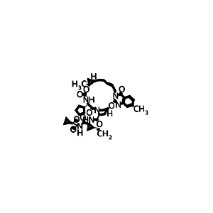 C=C[C@@H]1C[C@]1(NC(=O)[C@@H]1C[C@@H]2CN1C(=O)[C@H](C1CCCC1)NC(=O)O[C@@]1(C)C[C@@H]1CC/C=C/Cn1c(nc3cc(C)ccc3c1=O)O2)C(=O)NS(=O)(=O)C1CC1